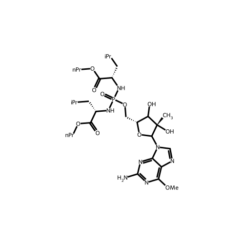 CCCOC(=O)[C@H](CC(C)C)NP(=O)(N[C@@H](CC(C)C)C(=O)OCCC)OC[C@H]1OC(n2cnc3c(OC)nc(N)nc32)[C@@](C)(O)C1O